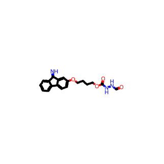 N=C1c2ccccc2-c2ccc(OCCCCOC(=O)NNC=O)cc21